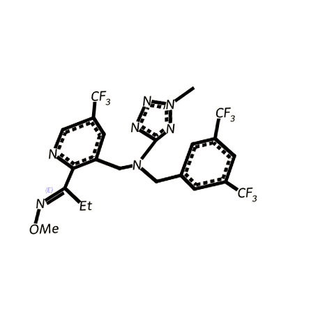 CC/C(=N\OC)c1ncc(C(F)(F)F)cc1CN(Cc1cc(C(F)(F)F)cc(C(F)(F)F)c1)c1nnn(C)n1